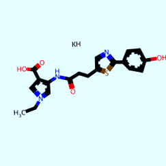 CCn1cc(NC(=O)CCc2cnc(-c3ccc(O)cc3)s2)c(C(=O)O)c1.[KH]